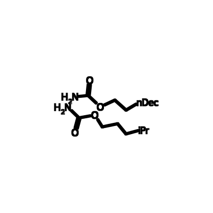 CC(C)CCCOC(N)=O.CCCCCCCCCCCCOC(N)=O